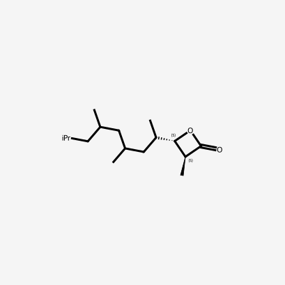 CC(C)CC(C)CC(C)CC(C)[C@@H]1OC(=O)[C@H]1C